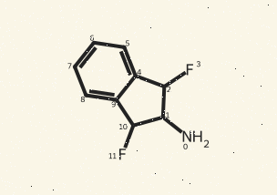 NC1C(F)c2ccccc2C1F